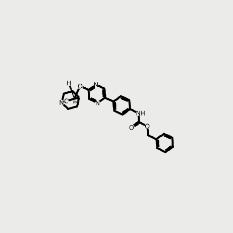 O=C(Nc1ccc(-c2cnc(O[C@H]3CN4CCC3CC4)cn2)cc1)OCc1ccccc1